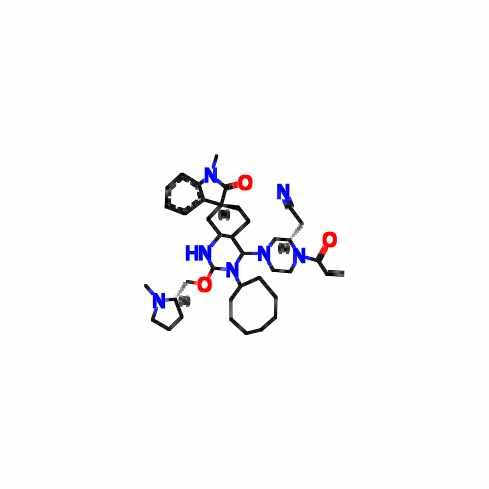 C=CC(=O)N1CCN(C2C3CC[C@]4(CC3NC(OC[C@@H]3CCCN3C)N2C2CCCCCCC2)C(=O)N(C)c2ccccc24)C[C@@H]1CC#N